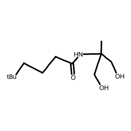 CC(C)(C)CCCC(=O)NC(C)(CO)CO